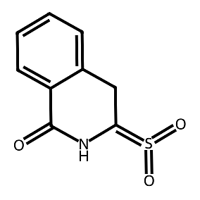 O=C1NC(=S(=O)=O)Cc2ccccc21